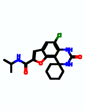 CC(C)NC(=O)c1cc2cc(Cl)c3c(c2o1)C1(CCCCC1)NC(=O)N3